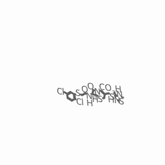 CC1(SCC2=C(C(=O)O)N3C(=O)C(NC(=O)CSc4cc(Cl)ccc4Cl)[C@H]3SC2)N=CSN1